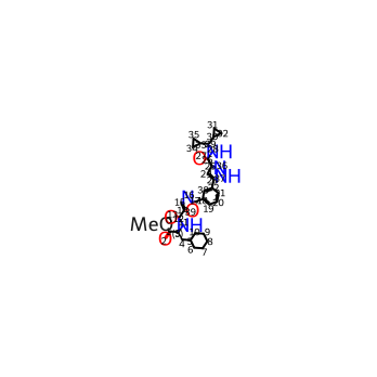 COC(=O)[C@H](CC1CCCCC1)NC(=O)c1cnc(-c2cccc(-c3cc(C(=O)NC(C4CC4)C4CC4)n[nH]3)c2)o1